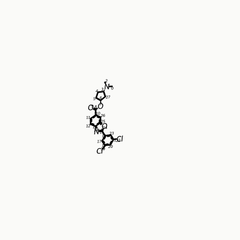 CN(C)[C@H]1CC[C@H](OC(=O)c2ccc3nc(-c4cc(Cl)cc(Cl)c4)oc3c2)C1